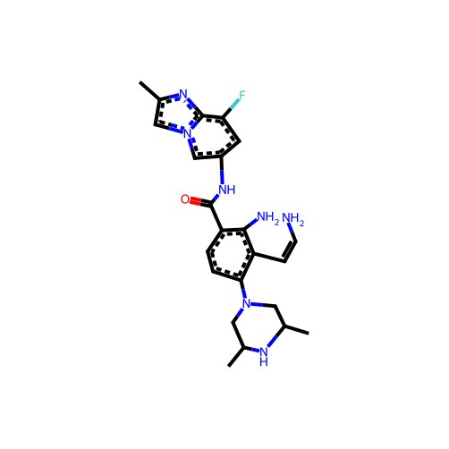 Cc1cn2cc(NC(=O)c3ccc(N4CC(C)NC(C)C4)c(/C=C\N)c3N)cc(F)c2n1